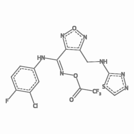 O=C(ON=C(Nc1ccc(F)c(Cl)c1)c1nonc1CNc1nncs1)C(F)(F)F